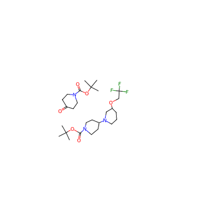 CC(C)(C)OC(=O)N1CCC(=O)CC1.CC(C)(C)OC(=O)N1CCC(N2CCCC(OCC(F)(F)F)C2)CC1